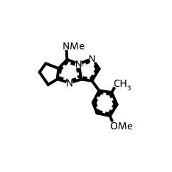 CNc1c2c(nc3c(-c4ccc(OC)cc4C)cnn13)CCC2